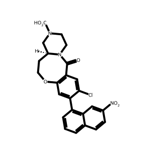 O=C(O)N1CCN2C(=O)c3cc(Cl)c(-c4cccc5ccc([N+](=O)[O-])cc45)cc3OCC[C@H]2C1